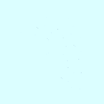 CCc1nc2ccc3c(c2nc1CC)OC(CN1CC=C(c2c[nH]c4ccccc24)CC1)CO3